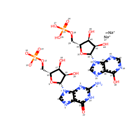 Nc1nc2c(ncn2[C@@H]2O[C@H](COP(=O)([O-])[O-])[C@@H](O)[C@H]2O)c(=O)[nH]1.O=P(O)(O)OC[C@H]1O[C@@H](n2cnc3c(O)ncnc32)[C@H](O)[C@@H]1O.[Na+].[Na+]